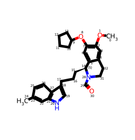 COc1cc2c(cc1OC1CCCC1)[C@H](CCCc1c[nH]c3cc(C)ccc13)N(C=O)CC2